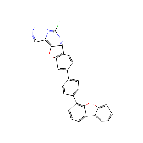 C/N=C\c1nc(Cl)nc2c1oc1cc(-c3ccc(-c4cccc5c4oc4ccccc45)cc3)ccc12